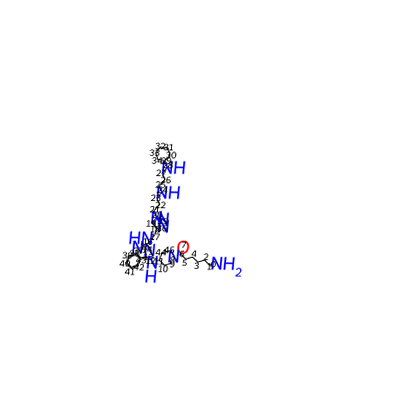 NCCCCCC(=O)N1CCC(Nc2nc(NCc3cn(CCCNCCCNC4CCCCC4)nn3)nc3ccccc23)CC1